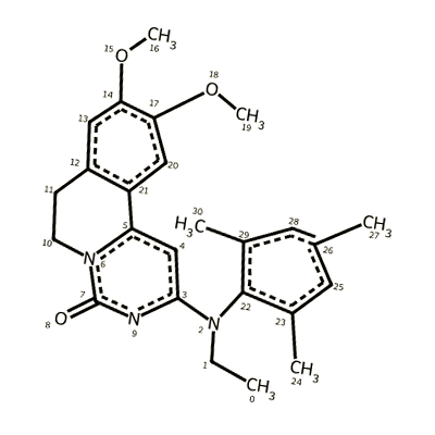 CCN(c1cc2n(c(=O)n1)CCc1cc(OC)c(OC)cc1-2)c1c(C)cc(C)cc1C